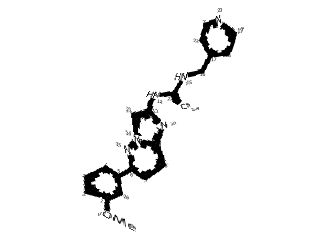 COc1cccc(-c2ccc3nc(NC(=O)NCc4ccncc4)cn3n2)c1